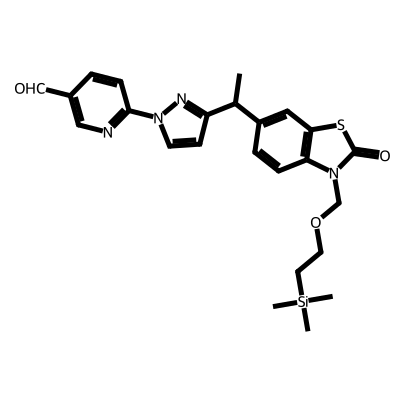 CC(c1ccc2c(c1)sc(=O)n2COCC[Si](C)(C)C)c1ccn(-c2ccc(C=O)cn2)n1